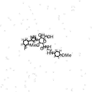 COc1ccc(NCCNC(=O)[C@@H]2O[C@H](CO)[C@H](O)[C@H](n3cc(-c4cccc(F)c4)nn3)[C@H]2OC)cc1